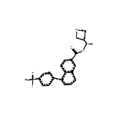 C[C@@H](NC(=O)c1ccc2c(-c3ccc(C(F)(F)F)cc3)cccc2c1)C1COC1